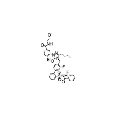 CCCCc1nn(-c2cc(C(=O)NCCOC)ccc2Br)c(=O)n1Cc1ccc(-c2ccccc2S(=O)(=O)NC(=O)c2ccccc2F)cc1F